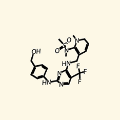 CN1CC=CC(CNc2nc(Nc3ccc(CO)cc3)ncc2C(F)(F)F)=C1N(C)S(C)(=O)=O